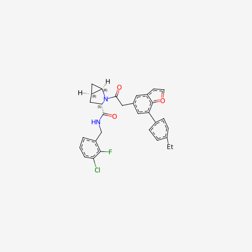 CCc1ccc(-c2cc(CC(=O)N3[C@@H]4C[C@@H]4C[C@H]3C(=O)NCc3cccc(Cl)c3F)cc3ccoc23)cc1